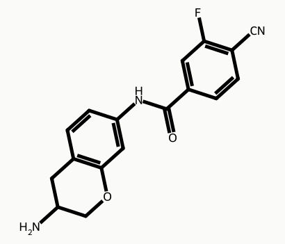 N#Cc1ccc(C(=O)Nc2ccc3c(c2)OCC(N)C3)cc1F